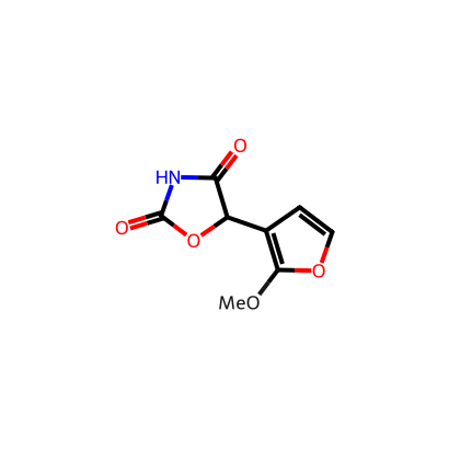 COc1occc1C1OC(=O)NC1=O